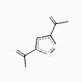 CC(=O)c1cc(C(=O)I)no1